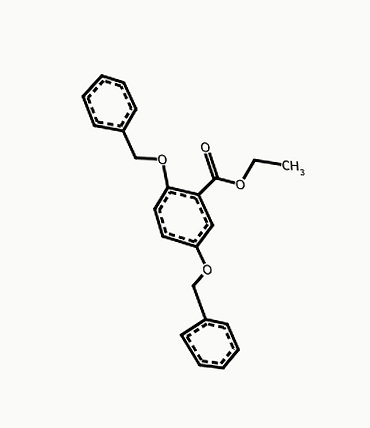 CCOC(=O)c1cc(OCc2ccccc2)ccc1OCc1ccccc1